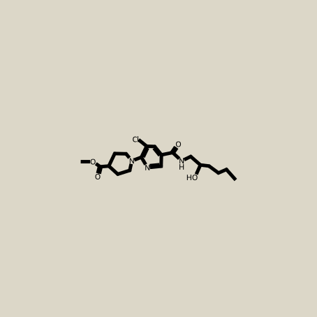 CCCCC(O)CNC(=O)c1cnc(N2CCC(C(=O)OC)CC2)c(Cl)c1